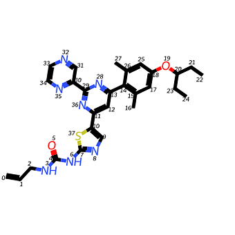 C=CCNC(=O)Nc1ncc(-c2cc(-c3c(C)cc(OC(CC)CC)cc3C)nc(-c3cnccn3)n2)s1